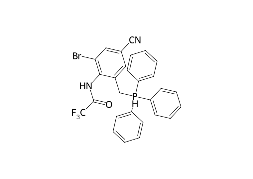 N#Cc1cc(Br)c(NC(=O)C(F)(F)F)c(C[PH](c2ccccc2)(c2ccccc2)c2ccccc2)c1